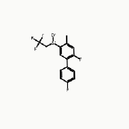 Cc1cc(F)c(-c2ccc(F)cc2)cc1[S+]([O-])CC(F)(F)F